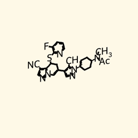 CC(=O)N(C)[C@H]1CC[C@@H](n2ncc(C3=Cn4ncc(C#N)c4C(Sc4ncccc4F)C3)c2C)CC1